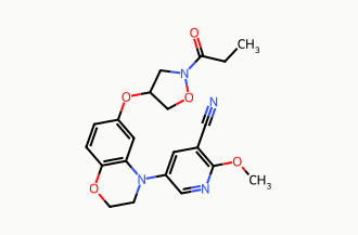 CCC(=O)N1CC(Oc2ccc3c(c2)N(c2cnc(OC)c(C#N)c2)CCO3)CO1